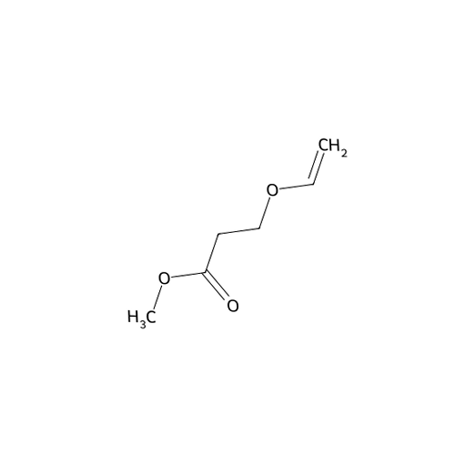 C=COCCC(=O)OC